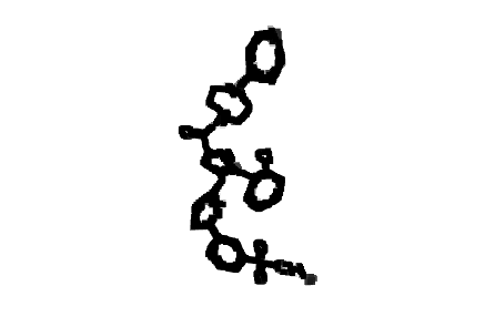 CS(=O)(=O)c1cccc(-c2ccc(-c3cc(C(=O)N4CCN(c5ccncc5)CC4)nn3-c3ccccc3Cl)s2)c1